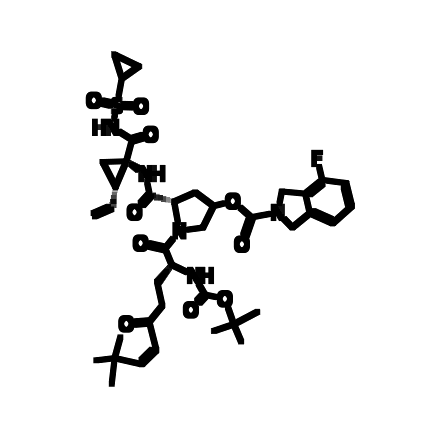 C=C[C@@H]1C[C@]1(NC(=O)[C@@H]1CC(OC(=O)N2Cc3cccc(F)c3C2)CN1C(=O)[C@H](CCC(=O)/C=C\C(C)(C)C)NC(=O)OC(C)(C)C)C(=O)NS(=O)(=O)C1CC1